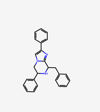 c1ccc(CC2NC(c3ccccc3)Cn3cc(-c4ccccc4)nc32)cc1